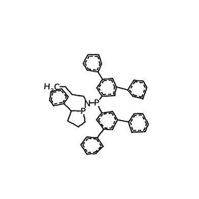 CCCCN(P(c1cc(-c2ccccc2)cc(-c2ccccc2)c1)c1cc(-c2ccccc2)cc(-c2ccccc2)c1)P1CCCC1c1ccccc1